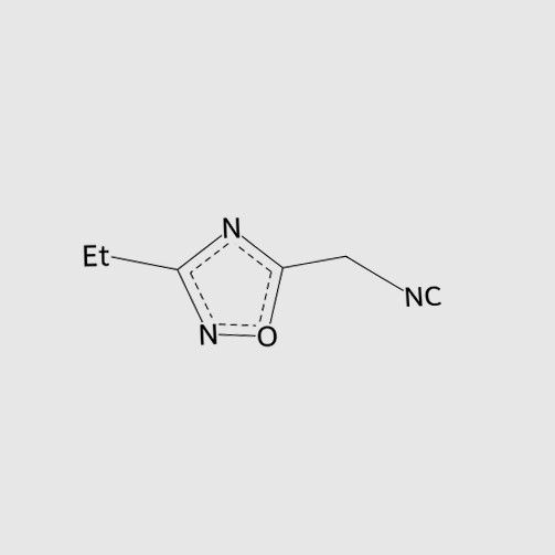 [C-]#[N+]Cc1nc(CC)no1